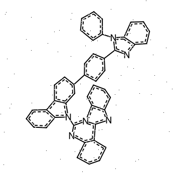 c1ccc(-n2c(-c3ccc(-c4ccc5c6ccccc6n(-c6nc7ccccc7c7nc8ccccc8n67)c5c4)cc3)nc3ccccc32)cc1